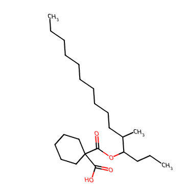 CCCCCCCCCCC(C)C(CCC)OC(=O)C1(C(=O)O)CCCCC1